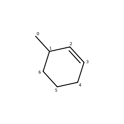 CC1C=CCCC1